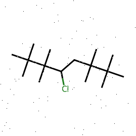 CC(C)(C)C(C)(C)CC(Cl)C(C)(C)C(C)(C)C